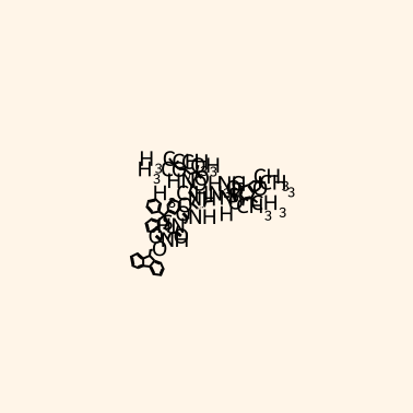 Cc1c(C)c(S(=O)(=O)NC(=N)NCCC[C@H](NC(=O)CNC(=O)[C@H](CSC(c2ccccc2)(c2ccccc2)c2ccccc2)NC(=O)OCC2c3ccccc3-c3ccccc32)C(=O)N[C@@H](C)C(=O)N[C@H](C(=O)O)[C@@H](C)OC(C)(C)C)c(C)c2c1OC(C)(C)C2